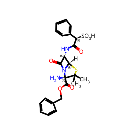 CC1(C)S[C@@H]2[C@@H](NC(=O)[C@@H](c3ccccc3)S(=O)(=O)O)C(=O)N2[C@@]1(N)C(=O)OCc1ccccc1